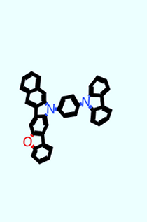 c1ccc2cc3c(cc2c1)c1cc2oc4ccccc4c2cc1n3-c1ccc(-n2c3ccccc3c3ccccc32)cc1